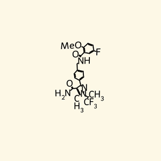 COc1ccc(F)cc1C(=O)NCc1ccc(-c2nn([C@@H](C)C(F)(F)F)c(C)c2C(N)=O)cc1